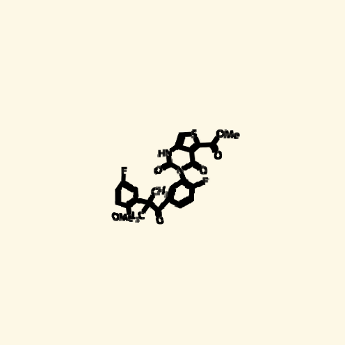 COC(=O)c1scc2[nH]c(=O)n(-c3cc(C(=O)C(C)(C)c4cc(F)ccc4OC)ccc3F)c(=O)c12